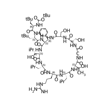 CC(C)C[C@@H]1NC(=O)[C@H]([C@H](O)C(C)C)NC(=O)[C@@H](NC(=O)[C@H](CC(C)(C)C)NC(=O)[C@@H](CC(C)(C)C)NC(=O)OC(C)(C)C)[C@@H](c2ccccc2)NC(=O)C(CO)NC(=O)[C@H](CO)NC(=O)CNC(=O)[C@H]([C@H](C)O)NC(=O)[C@H](CC(C)C)NC(=O)[C@@H](CCCNC(=N)N)NC1=O